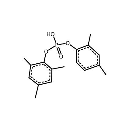 Cc1ccc(OP(=O)(O)Oc2c(C)cc(C)cc2C)c(C)c1